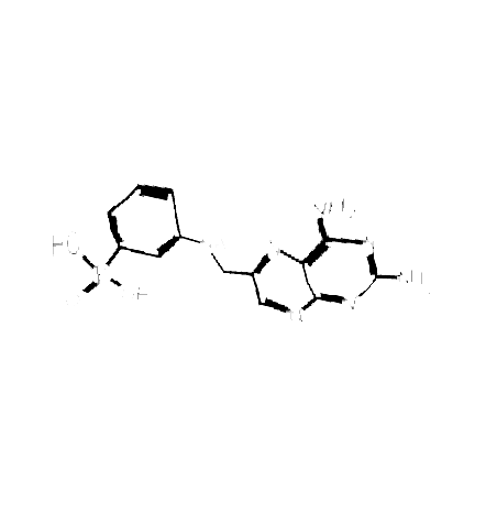 Nc1nc(N)c2nc(CNc3cccc(P(=O)(O)O)c3)cnc2n1